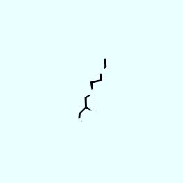 CCOCCOCC(O)CO